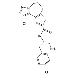 NC[C@H](Cc1ccc(Cl)cc1)NC(=O)c1cc2c(s1)CCCn1ncc(Cl)c1-2